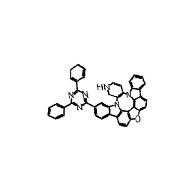 C1=CC(c2nc(-c3ccccc3)nc(-c3ccc4c5ccc6oc7ccc8c9ccccc9n9c%10c(n(c4c3)c5c6c7c89)CNC=C%10)n2)=CCC1